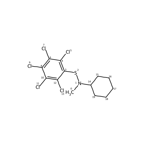 CN(Sc1c(Cl)c(Cl)c(Cl)c(Cl)c1Cl)C1CCCCC1